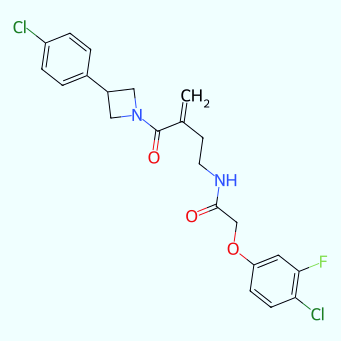 C=C(CCNC(=O)COc1ccc(Cl)c(F)c1)C(=O)N1CC(c2ccc(Cl)cc2)C1